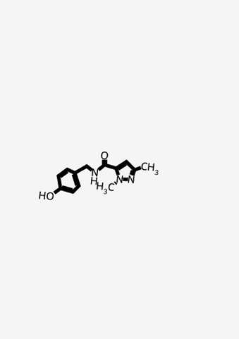 Cc1cc(C(=O)NCc2ccc(O)cc2)n(C)n1